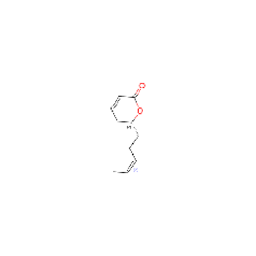 C/C=C\CC[C@@H]1CC=CC(=O)O1